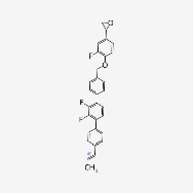 C/C=C/c1ccc(-c2ccc(-c3ccc(COc4ccc(C5CO5)cc4F)cc3)c(F)c2F)cc1